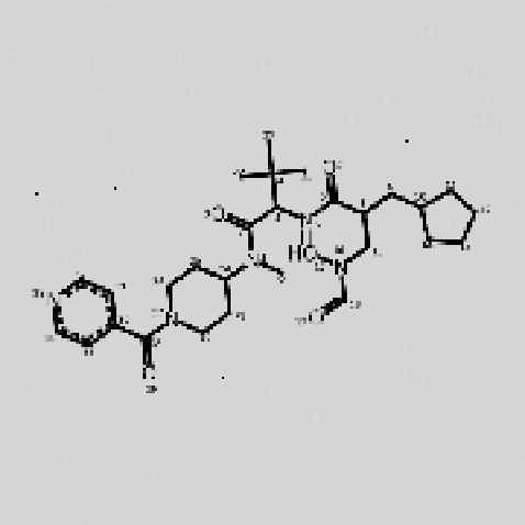 CN(C(=O)C(NC(=O)C(CC1CCCC1)CN(O)C=O)C(C)(C)C)C1CCN(C(=O)c2ccncc2)CC1